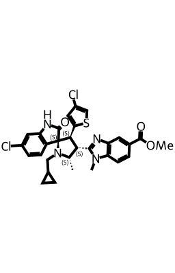 COC(=O)c1ccc2c(c1)nc([C@@H]1[C@H](C)N(CC3CC3)[C@@]3(C(=O)Nc4cc(Cl)ccc43)[C@H]1c1cc(Cl)cs1)n2C